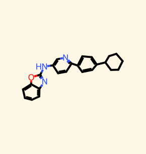 c1ccc2oc(Nc3ccc(-c4ccc(C5CCCCC5)cc4)nc3)nc2c1